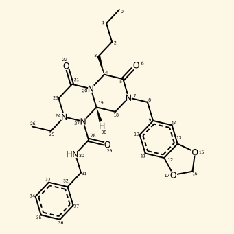 CCCC[C@H]1C(=O)N(Cc2ccc3c(c2)OCO3)C[C@H]2N1C(=O)CN(CC)N2C(=O)NCc1ccccc1